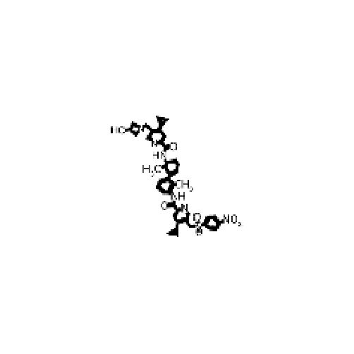 Cc1c(NC(=O)c2cc(C3CC3)c(CN3CC(O)C3)cn2)cccc1-c1cccc(NC(=O)c2cc(C3CC3)c(CS(=O)(=O)c3ccc([N+](=O)[O-])cc3)cn2)c1C